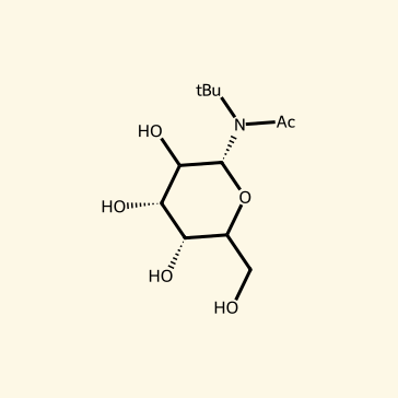 CC(=O)N([C@@H]1OC(CO)[C@H](O)[C@H](O)C1O)C(C)(C)C